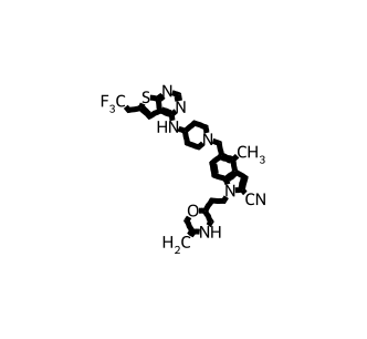 C=C1COC(CCn2c(C#N)cc3c(C)c(CN4CCC(Nc5ncnc6sc(CC(F)(F)F)cc56)CC4)ccc32)CN1